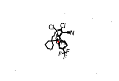 N#Cc1c(Cl)c(Cl)n(CC2(C(=O)O)CCCCC2)c1-c1ccc(C(F)(F)F)cc1